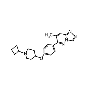 Cc1cc2nncn2nc1-c1ccc(OC2CCN(C3CCC3)CC2)cc1